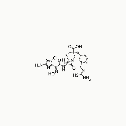 NC(S)=NCc1cc(SC2(C(=O)O)CS[C@@H]3[C@H](NC(=O)C(=NO)c4nc(N)sc4Cl)C(=O)N3C2)ccn1